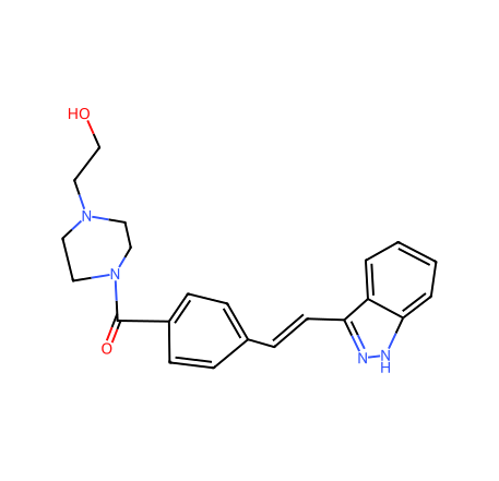 O=C(c1ccc(C=Cc2n[nH]c3ccccc23)cc1)N1CCN(CCO)CC1